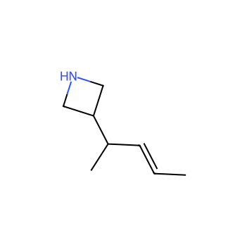 C/C=C/C(C)C1CNC1